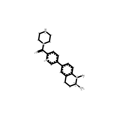 CC(=O)N1c2ccc(-c3ccc(C(=O)N4CCNCC4)nc3)cc2CC[C@@H]1C